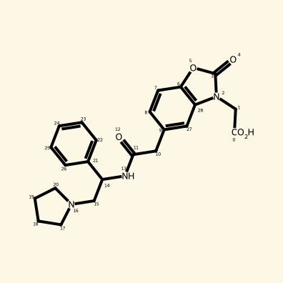 O=C(O)Cn1c(=O)oc2ccc(CC(=O)NC(CN3CCCC3)c3ccccc3)cc21